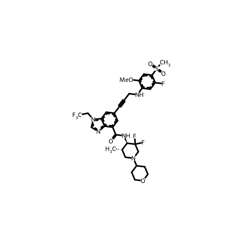 COc1cc(S(C)(=O)=O)c(F)cc1NCC#Cc1cc(C(=O)N[C@@H]2[C@@H](C)CN(C3CCOCC3)CC2(F)F)c2ncn(CC(F)(F)F)c2c1